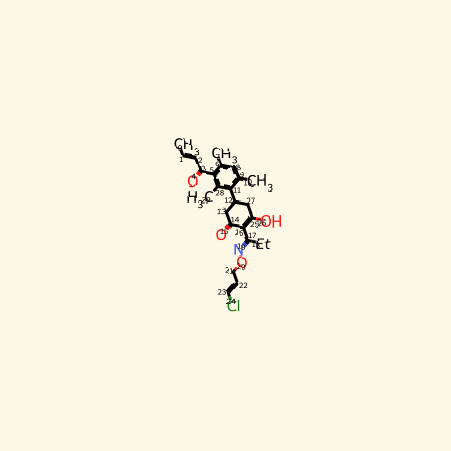 C/C=C/C(=O)c1c(C)cc(C)c(C2CC(=O)C(C(CC)=NOCC=CCl)=C(O)C2)c1C